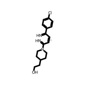 N=C(/C=C\C(=N)N1CCC(CCO)CC1)c1ccc(Cl)cc1